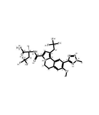 COc1cc2c(cc1-c1nnn(C)n1)-c1c(CC(F)(F)F)cc(C(=O)N[C@@](C)(CC(F)(F)F)C(N)=O)n1CC2